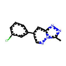 Cc1nnc2cc(-c3cccc(Cl)c3)cnn12